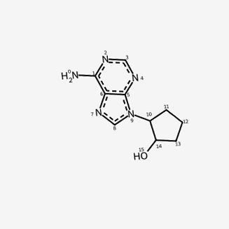 Nc1ncnc2c1ncn2C1CCCC1O